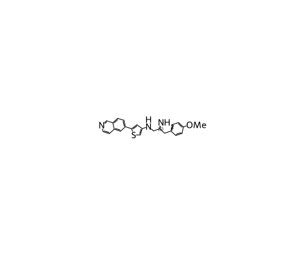 COc1ccc(C[C@H](N)CNc2csc(-c3ccc4cnccc4c3)c2)cc1